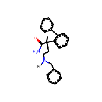 CC(C)N(CCC(C)(C(N)=O)c1ccccc1-c1ccccc1)Cc1ccccc1